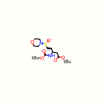 CC(C)(C)OC(=O)CC(/C=C/[S+]([O-])N1CCOCC1)NC(=O)OC(C)(C)C